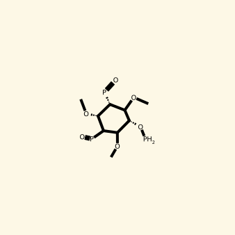 COC1C(P=O)[C@H](OC)[C@H](P=O)C(OC)[C@@H]1OP